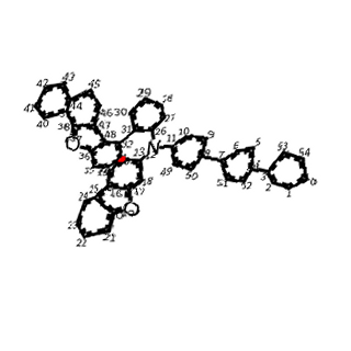 c1ccc(-c2ccc(-c3ccc(N(c4ccc5c(c4)oc4ccccc45)c4ccccc4-c4cccc5oc6c7ccccc7ccc6c45)cc3)cc2)cc1